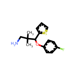 CC(C)(CN)C(Oc1ccc(F)cc1)c1cccs1